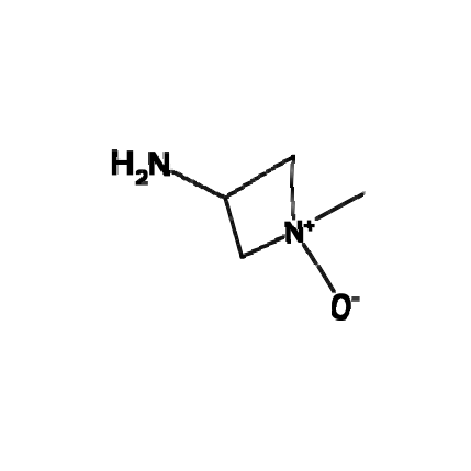 C[N+]1([O-])CC(N)C1